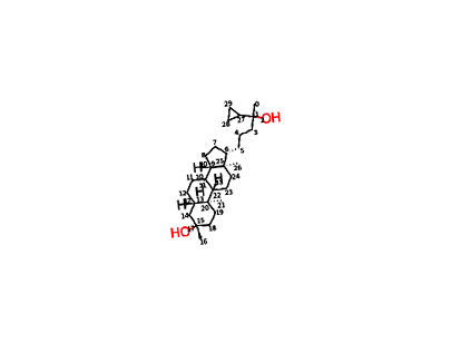 CC(O)(CCC[C@H]1CC[C@H]2[C@@H]3CC[C@H]4C[C@@](C)(O)CC[C@]4(C)[C@H]3CC[C@]12C)C1CC1